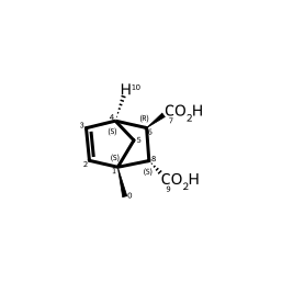 C[C@@]12C=C[C@H](C1)[C@@H](C(=O)O)[C@@H]2C(=O)O